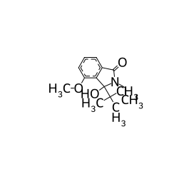 CCN1C(=O)c2cccc(OC)c2C1(O)C(C)(C)C